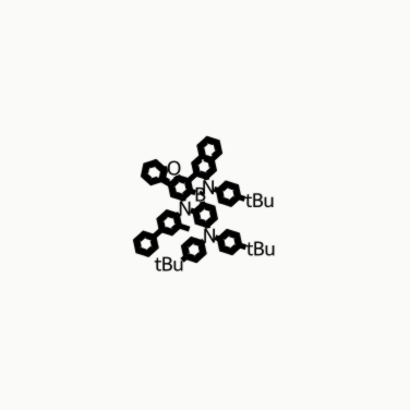 Cc1cc(-c2ccccc2)ccc1N1c2cc(N(c3ccc(C(C)(C)C)cc3)c3ccc(C(C)(C)C)cc3)ccc2B2c3c1cc1c(oc4ccccc41)c3-c1cc3ccccc3cc1N2c1ccc(C(C)(C)C)cc1